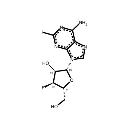 Nc1nc(I)nc2c1ncn2[C@@H]1O[C@H](CO)[C@@H](F)[C@@H]1O